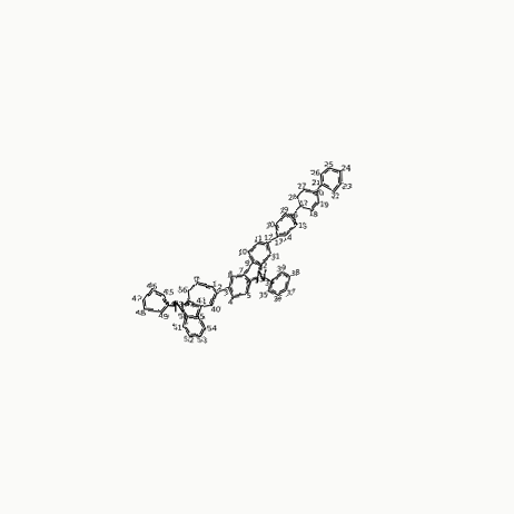 C1=CC(c2ccc3c(c2)c2ccc(-c4ccc(C5C=CC(c6ccccc6)=CC5)cc4)cc2n3-c2ccccc2)=Cc2c(n(-c3ccccc3)c3ccccc23)C1